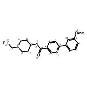 COc1cccc(-c2ccc(C(=O)NC3CCN(CC(F)(F)F)CC3)cn2)c1